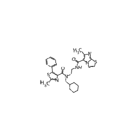 Cc1nc(C(=O)N(CCNC(=O)c2c(C)nc3sccn23)CC2CCCCC2)c(-c2ccccc2)s1